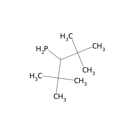 CC(C)(C)[C](P)C(C)(C)C